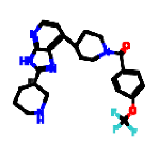 O=C(c1ccc(OC(F)(F)F)cc1)N1CCC(c2ccnc3[nH]c([C@@H]4CCCNC4)nc23)CC1